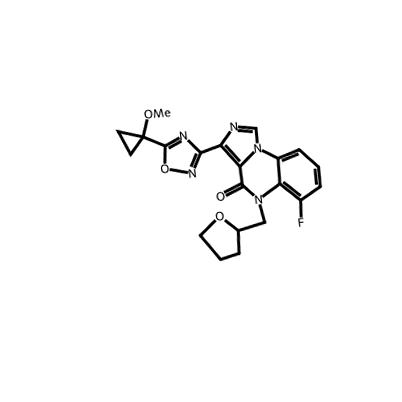 COC1(c2nc(-c3ncn4c3c(=O)n(CC3CCCO3)c3c(F)cccc34)no2)CC1